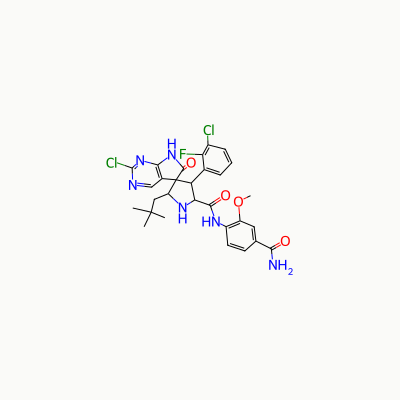 COc1cc(C(N)=O)ccc1NC(=O)C1NC(CC(C)(C)C)C2(C(=O)Nc3nc(Cl)ncc32)C1c1cccc(Cl)c1F